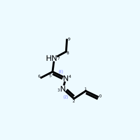 C=C/C=N\N=C(/C)NCC